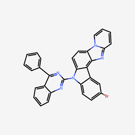 Brc1ccc2c(c1)c1c3nc4ccccn4c3ccc1n2-c1nc(-c2ccccc2)c2ccccc2n1